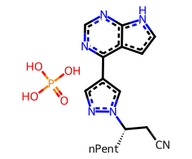 CCCCC[C@@H](CC#N)n1cc(-c2ncnc3[nH]ccc23)cn1.O=P(O)(O)O